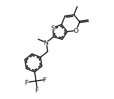 C=C1Oc2cc(N(C)Cc3cccc(C(F)(F)F)c3)sc2C=C1C